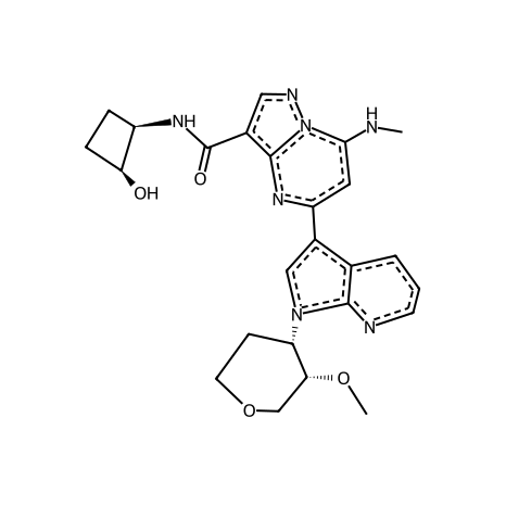 CNc1cc(-c2cn([C@H]3CCOC[C@H]3OC)c3ncccc23)nc2c(C(=O)N[C@@H]3CC[C@@H]3O)cnn12